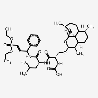 CCOP(=O)(/C=C/C(NC(=O)[C@H](CC(C)C)NC(=O)[C@H](CO[C@H]1O[C@@H]2O[C@@]3(C)CC[C@H]4[C@H](C)CC[C@@H]([C@H]1C)[C@@]24OO3)NC(=O)O)c1ccccc1)OCC